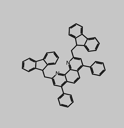 c1ccc(-c2cc(CC3c4ccccc4-c4ccccc43)nc3c2ccc2c(-c4ccccc4)cc(CC4c5ccccc5-c5ccccc54)nc23)cc1